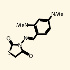 CNc1ccc(C=NN2C(=O)CSC2=O)c(NC)c1